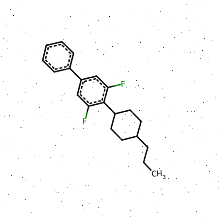 CCCC1CCC(c2c(F)cc(-c3ccccc3)cc2F)CC1